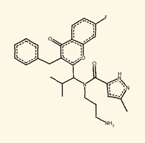 Cc1cc(C(=O)N(CCCN)C(c2oc3cc(F)ccc3c(=O)c2Cc2ccccc2)C(C)C)[nH]n1